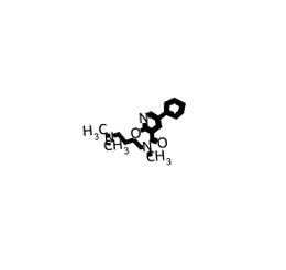 CN(C)CCC1CN(C)C(=O)c2cc(-c3ccccc3)cnc2O1